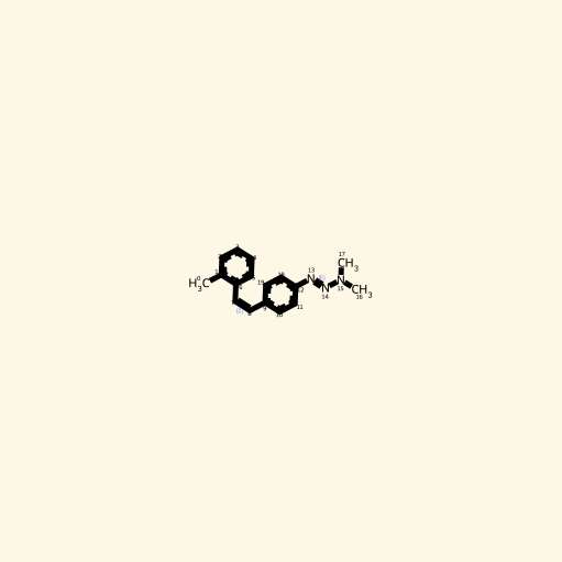 Cc1ccccc1/C=C\c1ccc(/N=N/N(C)C)cc1